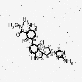 CN(C)C(=O)c1c(N)ccc(-c2cnc3c(c2Cl)[C@]2(CC[C@H](n4cnc(N)n4)C2)CN3)c1F